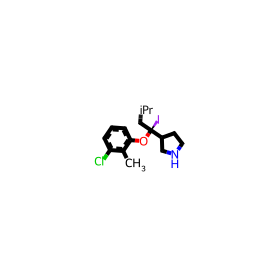 Cc1c(Cl)cccc1O[C@](I)(CC(C)C)C1CCNC1